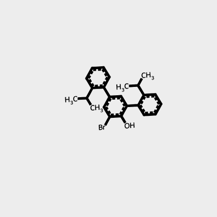 CC(C)c1ccccc1-c1cc(Br)c(O)c(-c2ccccc2C(C)C)c1